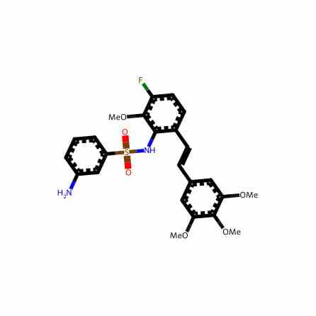 COc1cc(C=Cc2ccc(F)c(OC)c2NS(=O)(=O)c2cccc(N)c2)cc(OC)c1OC